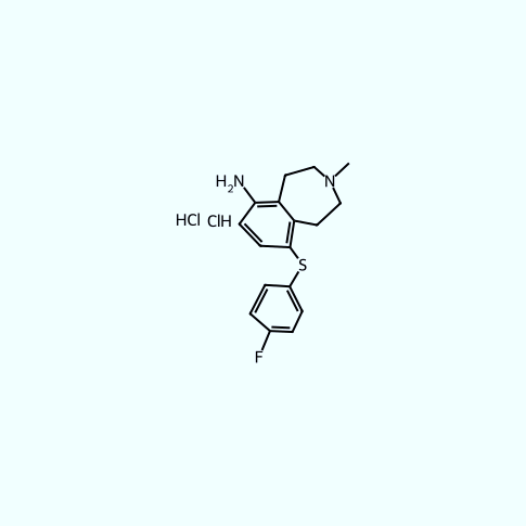 CN1CCc2c(N)ccc(Sc3ccc(F)cc3)c2CC1.Cl.Cl